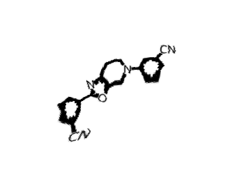 N#Cc1cccc(-c2nc3c(o2)CN(c2cccc(C#N)c2)CC3)c1